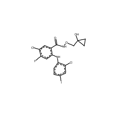 O=C(NOCC1(O)CC1)c1cc(Cl)c(F)cc1Nc1ccc(I)cc1Cl